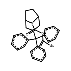 CC(C)(C)C(=O)OC(=O)N1C2CCC1CN(C(c1ccccc1)(c1ccccc1)c1ccccc1)C2